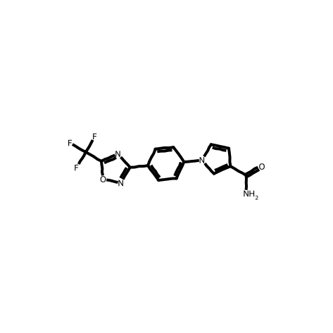 NC(=O)c1ccn(-c2ccc(-c3noc(C(F)(F)F)n3)cc2)c1